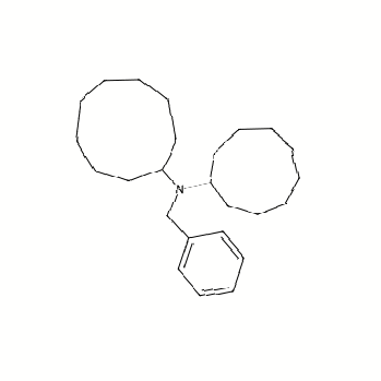 c1ccc(CN(C2CCCCCCCC2)C2CCCCCCCC2)cc1